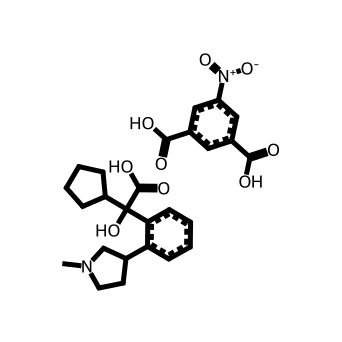 CN1CCC(c2ccccc2C(O)(C(=O)O)C2CCCC2)C1.O=C(O)c1cc(C(=O)O)cc([N+](=O)[O-])c1